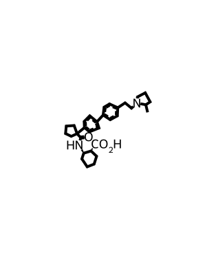 CC1CCCN1CCc1ccc(-c2ccc(C3(C(=O)N[C@@H]4CCCC[C@H]4C(=O)O)CCCC3)cc2)cc1